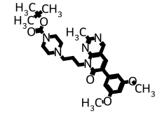 COc1cc(OC)cc(-c2cc3cnc(C)nc3n(CCCN3CCN(C(=O)OC(C)(C)C)CC3)c2=O)c1